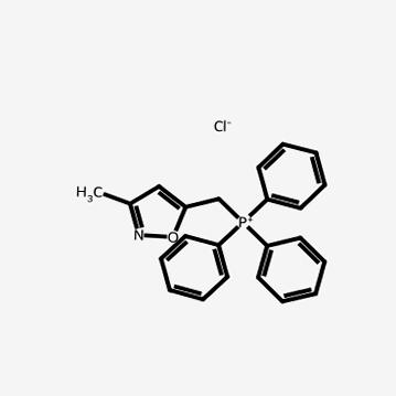 Cc1cc(C[P+](c2ccccc2)(c2ccccc2)c2ccccc2)on1.[Cl-]